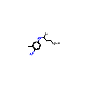 CCCCCCCCCCCC(CC)Nc1ccc(N)c(C)c1